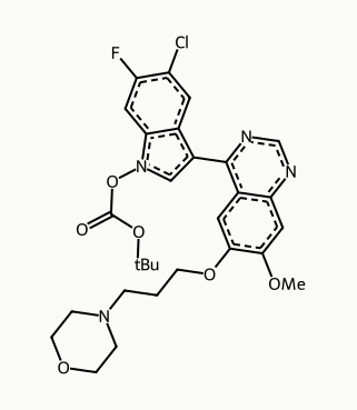 COc1cc2ncnc(-c3cn(OC(=O)OC(C)(C)C)c4cc(F)c(Cl)cc34)c2cc1OCCCN1CCOCC1